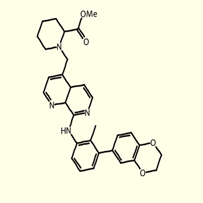 COC(=O)C1CCCCN1CC1=CC=NC2C(Nc3cccc(-c4ccc5c(c4)OCCO5)c3C)=NC=CC12